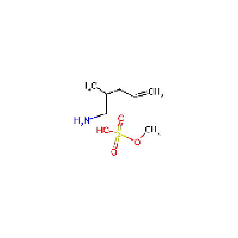 C=CCC(C)CN.COS(=O)(=O)O